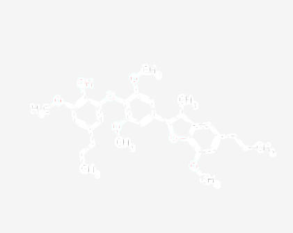 CCCc1cc(OC)c(O)c(Oc2c(OC)cc(C3Oc4c(OC)cc(CCC)cc4C3C)cc2OC)c1